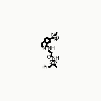 Cc1nc(-c2ccc3ccnc(NCCC(=O)Nc4nc(C)c(CC(C)C)s4)c3c2)no1